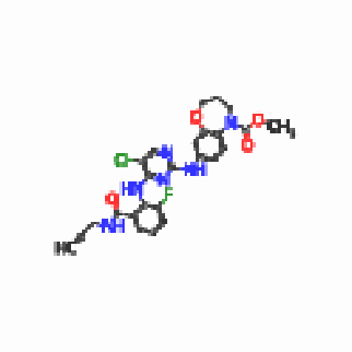 C#CCNC(=O)c1cccc(F)c1Nc1nc(Nc2ccc3c(c2)OCCCN3C(=O)OC)ncc1Cl